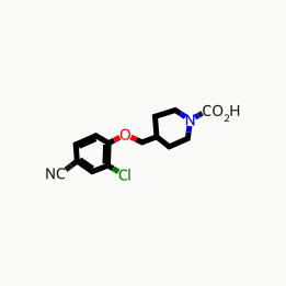 N#Cc1ccc(OCC2CCN(C(=O)O)CC2)c(Cl)c1